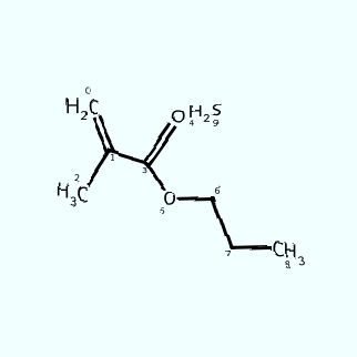 C=C(C)C(=O)OCCC.S